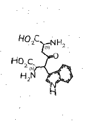 N[C@H](C(=O)O)C(C(=O)C[C@H](N)C(=O)O)c1c[nH]c2ccccc12